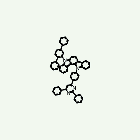 c1ccc(-c2ccc(-c3ccccc3)c(-n3c4ccccc4c4c3ccc3c5ccccc5n(-c5ccc(-c6cc(-c7ccccc7)nc(-c7ccccc7)n6)cc5)c34)c2)cc1